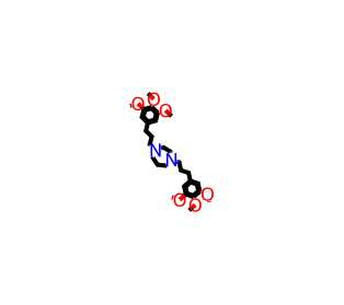 COc1cc(CCCN2CCCN(CCCc3cc(OC)c(OC)c(OC)c3)CC2)cc(OC)c1OC